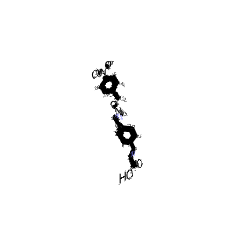 O=C(O)/C=C/c1ccc(/C=N/OCc2ccc([N+](=O)[O-])cc2)cc1